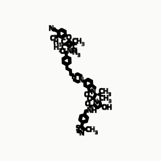 Cc1ncsc1-c1ccc(CNC(=O)[C@@H]2C[C@@H](O)CN2C(=O)[C@H](C(C)C)N2Cc3ccc(N4CCN(CCCc5ccc(C(=O)N[C@H]6C(C)(C)[C@H](Oc7ccc(C#N)c(Cl)c7)C6(C)C)cc5)CC4)cc3C2=O)cc1